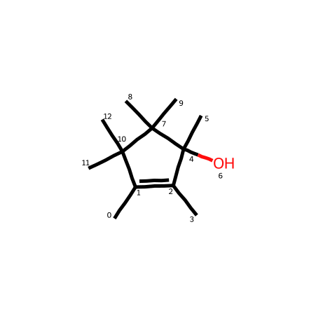 CC1=C(C)C(C)(O)C(C)(C)C1(C)C